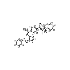 CCN(Cc1sccc1OCc1ccccc1)c1ccc(C(=O)NS(=O)(=O)c2ccccc2)cc1